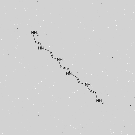 NC=CNC=CNC=CNC=CNC=CN